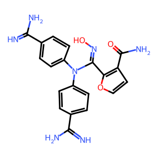 N=C(N)c1ccc(N(C(=NO)c2occc2C(N)=O)c2ccc(C(=N)N)cc2)cc1